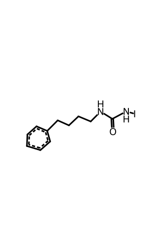 O=C(NI)NCCCCc1ccccc1